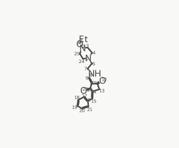 CCON1CCN(CCNC=C2C(=O)CC(=Cc3ccccc3)C2=O)CC1